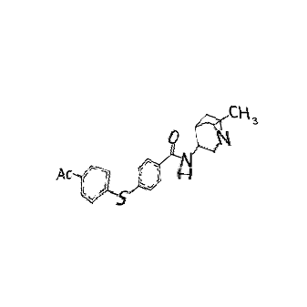 CC(=O)c1ccc(Sc2ccc(C(=O)NC3CN4CCC3CC4C)cc2)cc1